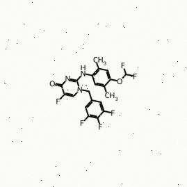 Cc1cc(OC(F)F)c(C)cc1Nc1nc(=O)c(F)cn1Cc1cc(F)c(F)c(F)c1